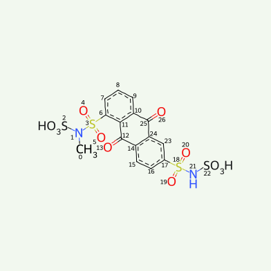 CN(S(=O)(=O)O)S(=O)(=O)c1cccc2c1C(=O)c1ccc(S(=O)(=O)NS(=O)(=O)O)cc1C2=O